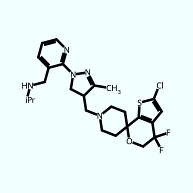 CC1=NN(c2ncccc2CNC(C)C)CC1CN1CCC2(CC1)OCC(F)(F)c1cc(Cl)sc12